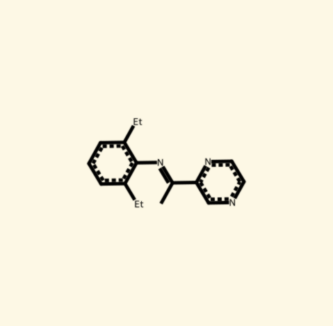 CCc1cccc(CC)c1N=C(C)c1cnccn1